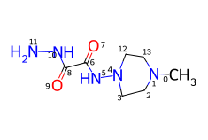 CN1CCN(NC(=O)C(=O)NN)CC1